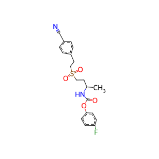 CC(CCS(=O)(=O)CCc1ccc(C#N)cc1)NC(=O)Oc1ccc(F)cc1